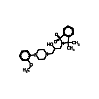 COc1ccccc1N1CCN(CC(O)CN2C(C)(C)c3ccccc3S2(=O)=O)CC1